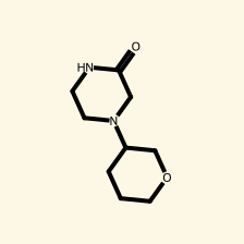 O=C1CN(C2CCCOC2)CCN1